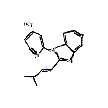 CC(C)/C=C/c1nc2ccccc2n1-c1ccccn1.Cl